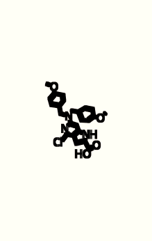 COc1ccc(CN(Cc2ccc(OC)cc2)c2cc3[nH]c(C(=O)O)cc3c(Cl)n2)cc1